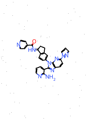 Nc1ncccc1-c1nc2ccc(-n3cccn3)nc2n1-c1ccc2c(c1)CC[C@@H]2NC(=O)c1ccncc1